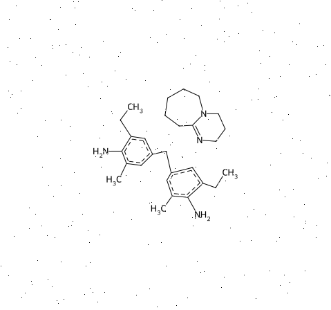 C1CCC2=NCCCN2CC1.CCc1cc(Cc2cc(C)c(N)c(CC)c2)cc(C)c1N